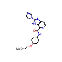 COCCOC1CCC(NC(=O)c2nccc3nc(-n4ccnc4)[nH]c23)CC1